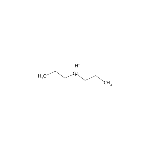 CC[CH2][Ga][CH2]CC.[H-]